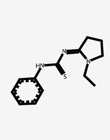 CCN1CCCC1=NC(=S)Nc1ccccc1